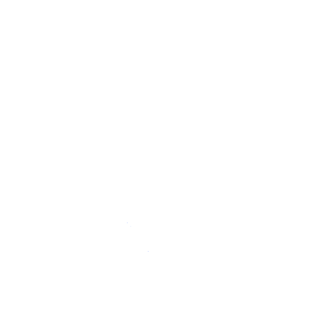 CCC(O)C(C)C1OC1CC(C)/C=C/C=C(\C)C1OC(=O)CC(O)CCC(C)(O)C(OC(=O)N2CCN(C)CC2)/C=C/C1C